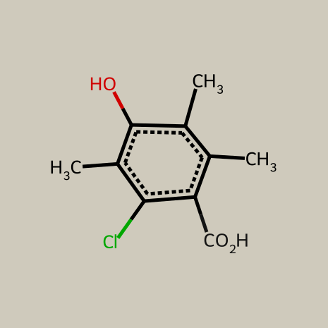 Cc1c(C)c(C(=O)O)c(Cl)c(C)c1O